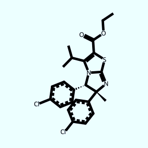 CCOC(=O)C1=C(C(C)C)N2C(=N[C@](C)(c3ccc(Cl)cc3)[C@@H]2c2ccc(Cl)cc2)S1